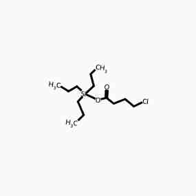 CCC[Si](CCC)(CCC)OC(=O)CCCCl